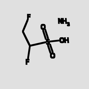 N.O=S(=O)(O)C(F)CF